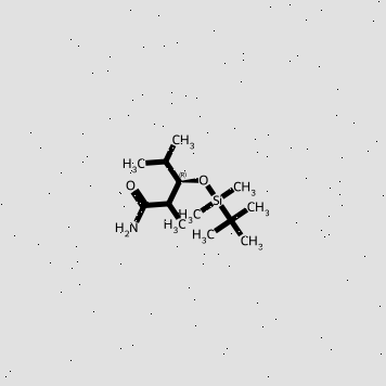 CC(C)[C@@H](O[Si](C)(C)C(C)(C)C)C(C)C(N)=O